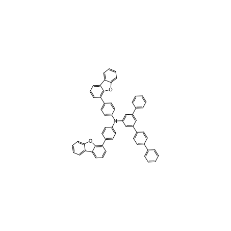 c1ccc(-c2ccc(-c3cc(-c4ccccc4)cc(N(c4ccc(-c5cccc6c5oc5ccccc56)cc4)c4ccc(-c5cccc6c5oc5ccccc56)cc4)c3)cc2)cc1